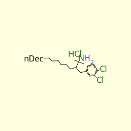 CCCCCCCCCCCCCCCCC(Cc1ccc(Cl)c(Cl)c1)C(C)(C)N.Cl